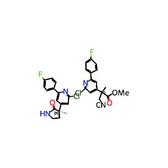 COC(=O)[C@](C)(CC#N)c1cc(Cl)nc(-c2ccc(F)cc2)c1.C[C@]1(c2cc(Cl)nc(-c3ccc(F)cc3)c2)CCNC1=O